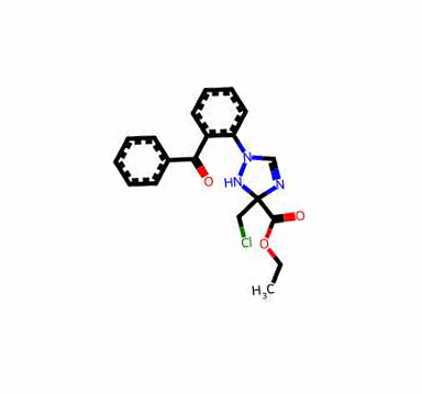 CCOC(=O)C1(CCl)N=CN(c2ccccc2C(=O)c2ccccc2)N1